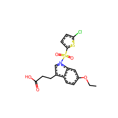 CCOc1ccc2c(CCC(=O)O)cn(S(=O)(=O)c3ccc(Cl)s3)c2c1